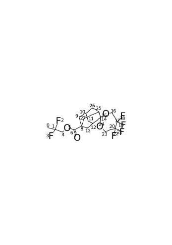 CC(F)(F)COC(=O)C12CC3CC(C1)C1(OCC(F)(F)C(F)(F)CO1)C(C3)C2